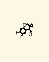 O=CC1c2cc(F)c(F)cc2OCC12CC2